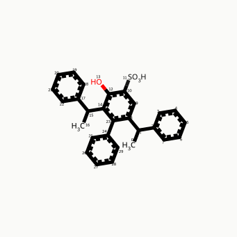 CC(c1ccccc1)c1cc(S(=O)(=O)O)c(O)c(C(C)c2ccccc2)c1-c1ccccc1